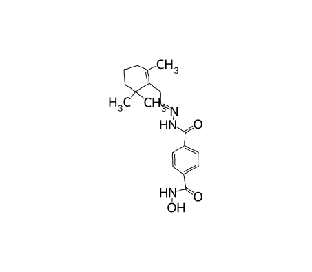 CC1=C(C/C=N/NC(=O)c2ccc(C(=O)NO)cc2)C(C)(C)CCC1